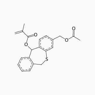 C=C(C)C(=O)OC1c2ccccc2CSc2cc(COC(C)=O)ccc21